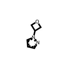 c1cnn(C2COC2)c1